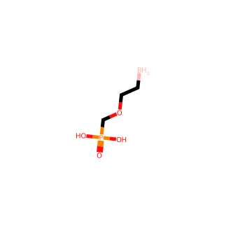 BCCOCP(=O)(O)O